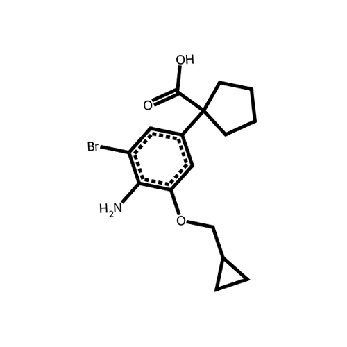 Nc1c(Br)cc(C2(C(=O)O)CCCC2)cc1OCC1CC1